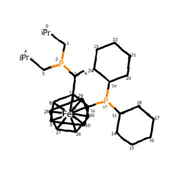 CC(C)CP(CC(C)C)C(C)[C]12[CH]3[CH]4[CH]5[C]1(P(C1CCCCC1)C1CCCCC1)[Fe]43521678[CH]2[CH]1[CH]6[CH]7[CH]28